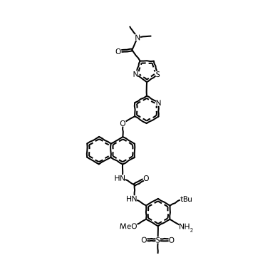 COc1c(NC(=O)Nc2ccc(Oc3ccnc(-c4nc(C(=O)N(C)C)cs4)c3)c3ccccc23)cc(C(C)(C)C)c(N)c1S(C)(=O)=O